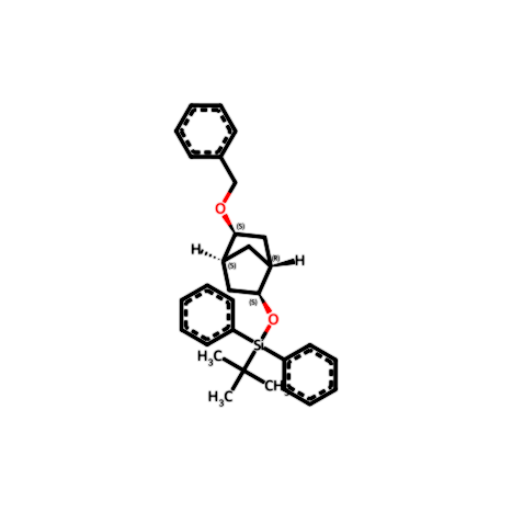 CC(C)(C)[Si](O[C@H]1C[C@@H]2C[C@@H]1C[C@@H]2OCc1ccccc1)(c1ccccc1)c1ccccc1